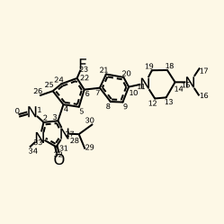 C=Nc1c(-c2cc(-c3ccc(N4CCC(N(C)C)CC4)cc3)c(F)cc2C)n(C(C)C)c(=O)n1C